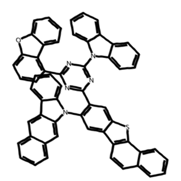 c1ccc2cc3c(cc2c1)c1ccccc1n3-c1cc2c(cc1-c1nc(-c3cccc4oc5ccccc5c34)nc(-n3c4ccccc4c4ccccc43)n1)sc1c3ccccc3ccc21